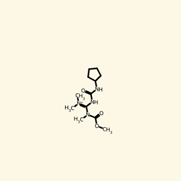 COC(=O)N(C)C(NC(=O)NC1CCCC1)=[N+](C)C